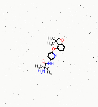 CC(C)(N)C(=O)Nc1ccc(Oc2cccc3c2C(C)(C)CO3)nc1